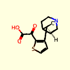 O=C(O)C(=O)c1sccc1[C@@H]1CN2CCC1CC2